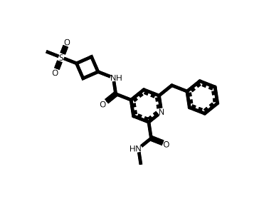 CNC(=O)c1cc(C(=O)NC2CC(S(C)(=O)=O)C2)cc(Cc2ccccc2)n1